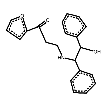 O=C(CCNC(c1ccccc1)C(O)c1ccccc1)c1ccco1